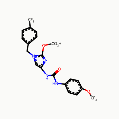 O=C(Nc1ccc(OC(F)(F)F)cc1)Nc1cn(Cc2ccc(C(F)(F)F)cc2)c(OC(=O)O)n1